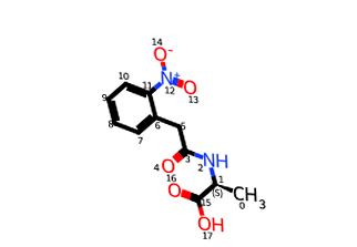 C[C@H](NC(=O)Cc1ccccc1[N+](=O)[O-])C(=O)O